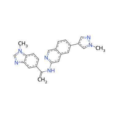 C=C(Nc1cc2cc(-c3cnn(C)c3)ccc2cn1)c1ccc2c(c1)ncn2C